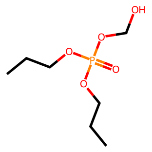 CCCOP(=O)(OCO)OCCC